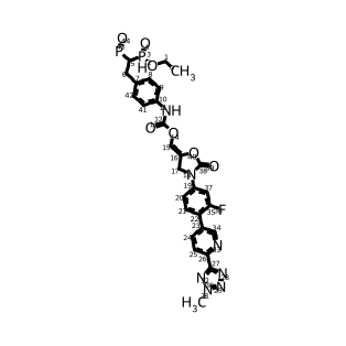 CCO[PH](=O)C(Cc1ccc(NC(=O)O/C=C2/CN(c3ccc(-c4ccc(-c5nnn(C)n5)nc4)c(F)c3)C(=O)O2)cc1)P=O